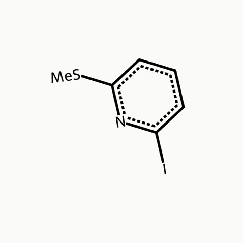 CSc1cccc(I)n1